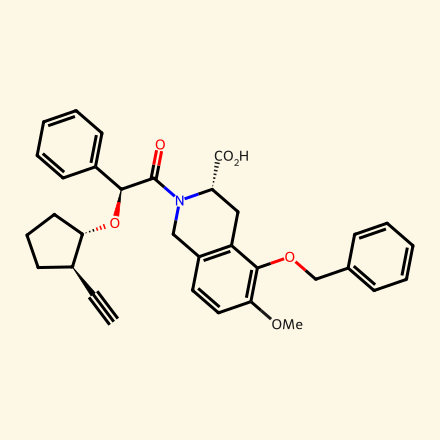 C#C[C@H]1CCC[C@@H]1O[C@H](C(=O)N1Cc2ccc(OC)c(OCc3ccccc3)c2C[C@H]1C(=O)O)c1ccccc1